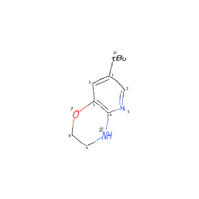 CC(C)(C)c1cnc2c(c1)OCCN2